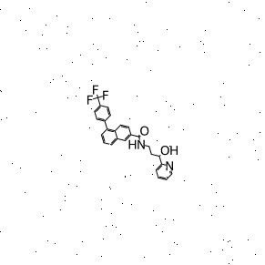 O=C(NCC[C@H](O)c1ccccn1)c1ccc2c(-c3ccc(C(F)(F)F)cc3)cccc2c1